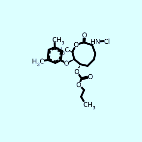 CCCOC(=O)O[C@H]1CCC[C@H](NCl)C(=O)O[C@@H](C)[C@@H]1Oc1cc(C)cc(C)c1